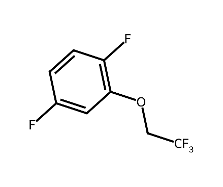 Fc1ccc(F)c(OCC(F)(F)F)c1